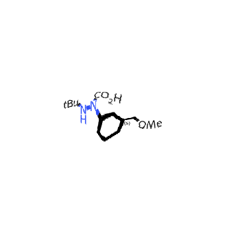 COC[C@H]1CCCC(N(NC(C)(C)C)C(=O)O)C1